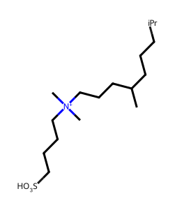 CC(C)CCCC(C)CCC[N+](C)(C)CCCCS(=O)(=O)O